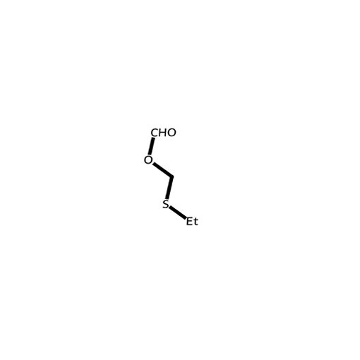 CCSCOC=O